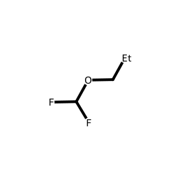 CCCOC(F)F